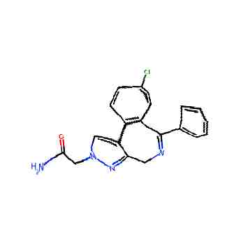 NC(=O)Cn1cc2c(n1)CN=C(c1ccccc1)c1cc(Cl)ccc1-2